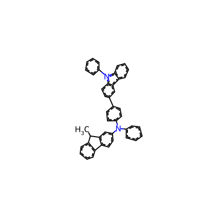 CC1c2ccccc2-c2ccc(N(c3ccccc3)c3ccc(-c4ccc5c(c4)c4ccccc4n5-c4ccccc4)cc3)cc21